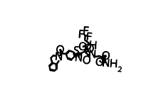 NS(=O)(=O)CCNC(=O)C(c1nc2ccc(C(=O)N3CCc4ccccc4C3)cc2s1)S(=O)(=O)CCC(F)(F)F